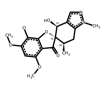 COc1cc(OC)c2c(c1Cl)O[C@@]1(C2=O)[C@H](C)Cc2c(cnn2C)[C@@H]1O